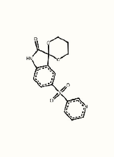 O=C1Nc2ccc(S(=O)(=O)c3cccnc3)cc2C12OCCCO2